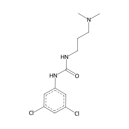 CN(C)CCCNC(=O)Nc1cc(Cl)cc(Cl)c1